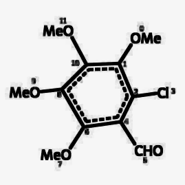 COc1c(Cl)c(C=O)c(OC)c(OC)c1OC